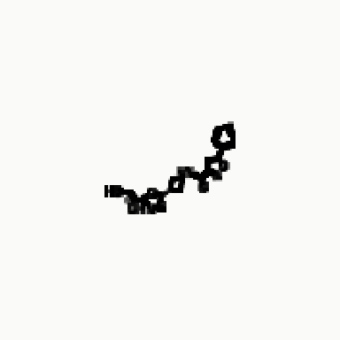 O=C(N[C@H]1C[C@@H](c2nnc([C@@H](O)CO)o2)C1)c1cc(-c2ccccc2)on1